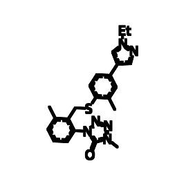 CCn1cc(-c2ccc(SCc3c(C)cccc3-n3nnn(C)c3=O)c(C)c2)cn1